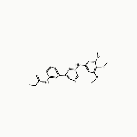 CCC(=O)Nc1cccc(-c2cncc(Nc3cc(OC)c(OC)c(OC)c3)n2)c1